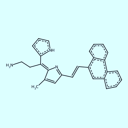 CC1=CC(/C=C/c2cc3ccccc3c3ccccc23)=NC/1=C(/CCN)c1ccc[nH]1